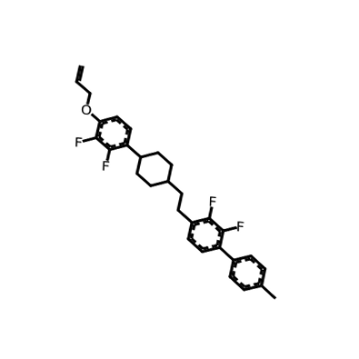 C=CCOc1ccc(C2CCC(CCc3ccc(-c4ccc(C)cc4)c(F)c3F)CC2)c(F)c1F